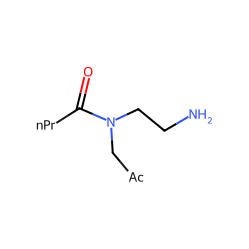 CCCC(=O)N(CCN)CC(C)=O